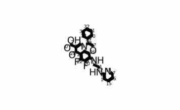 O=C(O)c1cn2c3c(c(NCCNc4ccccn4)c(F)c(F)c3c1=O)OC[C@@H]2c1ccccc1